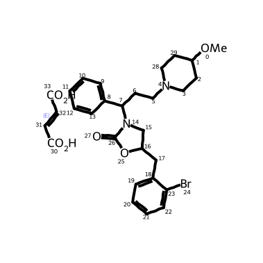 COC1CCN(CCC(c2ccccc2)N2CC(Cc3ccccc3Br)OC2=O)CC1.O=C(O)/C=C/C(=O)O